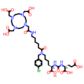 O=C(O)CC[C@@H](NC(=O)N[C@H](CCCCN(Cc1ccc(Br)cc1)C(=O)CCCCCNC(=O)CN1CCN(CC(=O)O)CCN(CC(=O)O)CCN(CC(=O)O)CC1)C(=O)O)C(=O)O